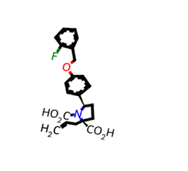 C=CC[C@@]1(C(=O)O)CC[C@H](c2ccc(OCc3ccccc3F)cc2)N1C(=O)O